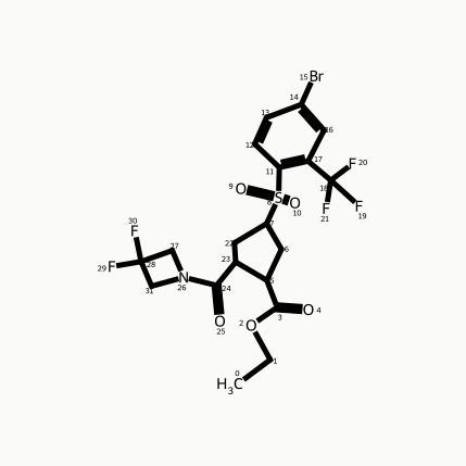 CCOC(=O)C1CC(S(=O)(=O)c2ccc(Br)cc2C(F)(F)F)CC1C(=O)N1CC(F)(F)C1